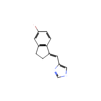 Brc1ccc2c(c1)CC/C2=C\c1c[nH]cn1